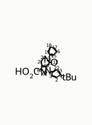 CC(C)(C)c1ccc(-n2nc(C(=O)O)c3c2C(=O)N(c2ccccc2)CC3)cc1